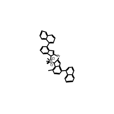 [CH2]=[Zr]([CH3])([CH3])([Cl])([Cl])([CH]1C(C(C)C)=Cc2c(-c3cccc4ccccc34)cccc21)[CH]1C(C)=Cc2c(-c3cccc4ccccc34)ccc(C)c21